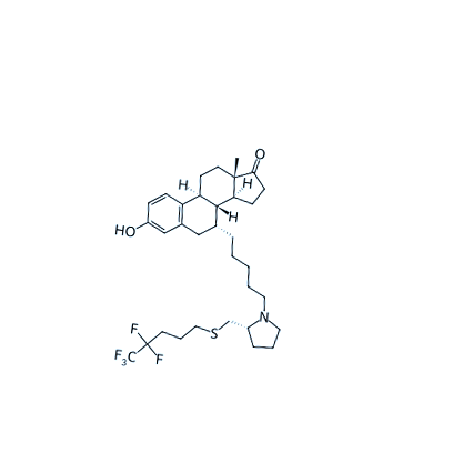 C[C@]12CC[C@@H]3c4ccc(O)cc4C[C@@H](CCCCCN4CCC[C@@H]4CSCCCC(F)(F)C(F)(F)F)[C@H]3[C@@H]1CCC2=O